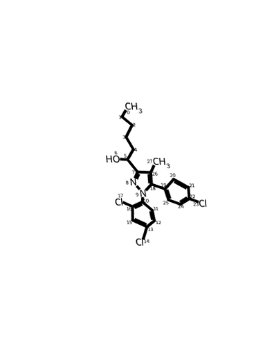 CCCCCC(O)c1nn(-c2ccc(Cl)cc2Cl)c(-c2ccc(Cl)cc2)c1C